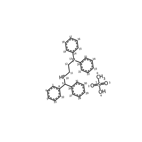 CS(=O)(=O)O.c1ccc(C(PCCP(c2ccccc2)c2ccccc2)c2ccccc2)cc1